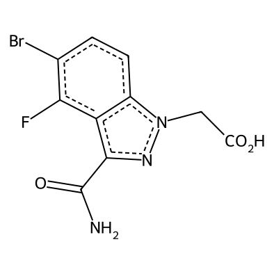 NC(=O)c1nn(CC(=O)O)c2ccc(Br)c(F)c12